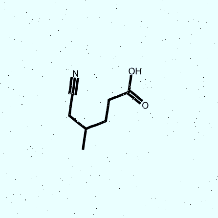 CC(CC#N)CCC(=O)O